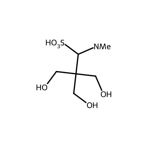 CNC(C(CO)(CO)CO)S(=O)(=O)O